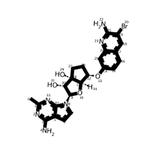 Cc1nc(N)c2ccn([C@@H]3O[C@@H]4[C@@H](Oc5ccc6cc(Br)c(N)nc6c5)CC[C@]4(O)[C@H]3O)c2n1